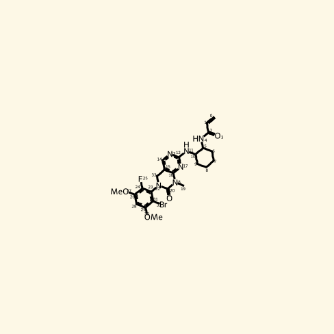 C=CC(=O)NC1CCCCC1Nc1ncc2c(n1)N(C)C(=O)N(c1c(F)c(OC)cc(OC)c1Br)C2